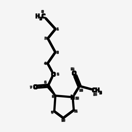 CCCCCOC(=O)[C@@H]1CCCN1C(C)=O